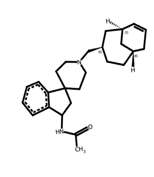 CC(=O)NC1CC2(CCN(C[C@@H]3CC[C@H]4CC=C[C@@H](C4)C3)CC2)c2ccccc21